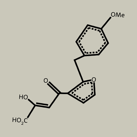 COc1ccc(Cc2occc2C(=O)C=C(O)C(=O)O)cc1